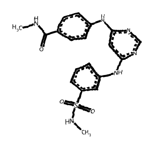 CNC(=O)c1ccc(Nc2cc(Nc3cccc(S(=O)(=O)NC)c3)ncn2)cc1